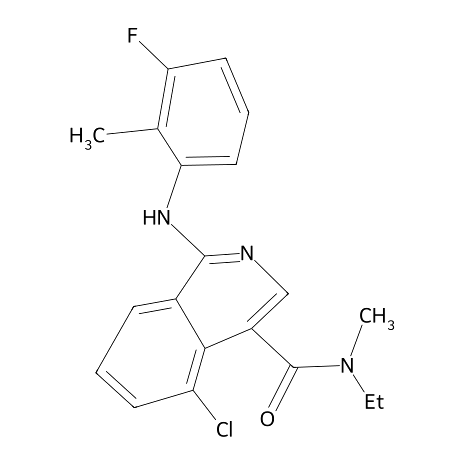 CCN(C)C(=O)c1cnc(Nc2cccc(F)c2C)c2cccc(Cl)c12